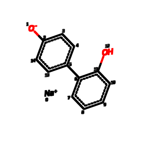 [Na+].[O-]c1ccc(-c2ccccc2O)cc1